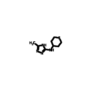 Cc1nnc(NC2CCSCC2)[nH]1